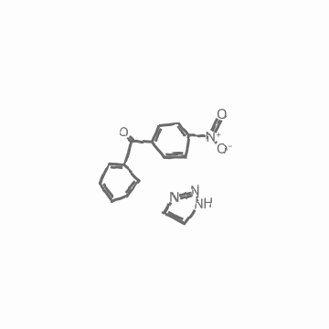 O=C(c1ccccc1)c1ccc([N+](=O)[O-])cc1.c1c[nH]nn1